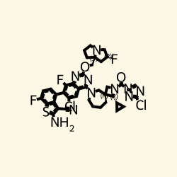 N#Cc1c(N)sc2c(F)ccc(-c3c(Cl)cc4c(N5CCCC[C@@]6(C5)CN(C(=O)n5cnc(Cl)n5)[C@@H]6C5CC5)nc(OC[C@@]56CCCN5C[C@H](F)C6)nc4c3F)c12